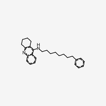 c1ccc(CCCCCCCCNc2c3c(nc4ccccc24)CCCC3)cc1